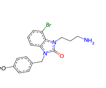 COc1ccc(Cn2c(=O)n(CCCN)c3c(Br)cccc32)cc1